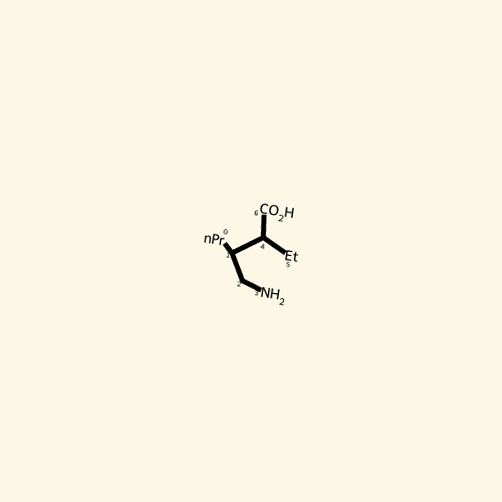 CCCC(CN)C(CC)C(=O)O